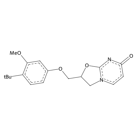 COc1cc(OCC2Cn3ccc(=O)nc3O2)ccc1C(C)(C)C